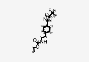 CCOC(=O)NCCc1ccc(-c2noc(C(F)(F)F)n2)cc1